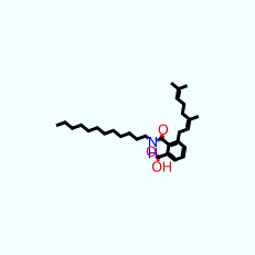 CCCCCCCCCCCCNC(=O)c1c(CC=C(C)CCC=C(C)C)cccc1C(=O)O